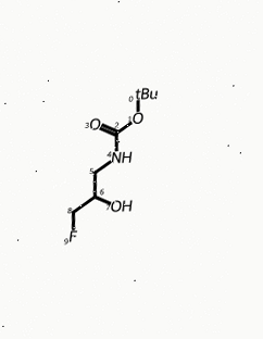 CC(C)(C)OC(=O)NCC(O)CF